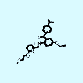 C#CCOc1ccc(NCc2cccc(OCCOC)n2)c(C(=O)c2ccc(C(C)C)cc2)c1